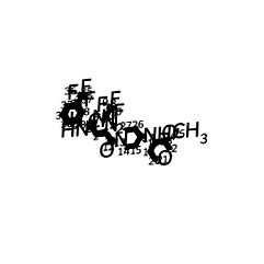 C=C(/C=C(\N=C(/N)C(F)(F)F)C(=O)N1CCC(N[C@H]2CCOC[C@H]2OC)CC1)Nc1cccc(C(F)(F)F)c1